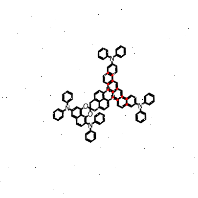 c1ccc(N(c2ccccc2)c2ccc(-c3ccc(N(c4ccccc4)c4ccc5c6c(ccc(N(c7ccccc7)c7ccc(-c8ccc(N(c9ccccc9)c9ccccc9)cc8)cc7)c46)CC4(C5)Oc5cc(N(c6ccccc6)c6ccccc6)cc6ccc(N(c7ccccc7)c7ccccc7)c(c56)O4)cc3)cc2)cc1